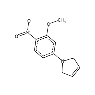 COc1cc(N2CC=CC2)ccc1[N+](=O)[O-]